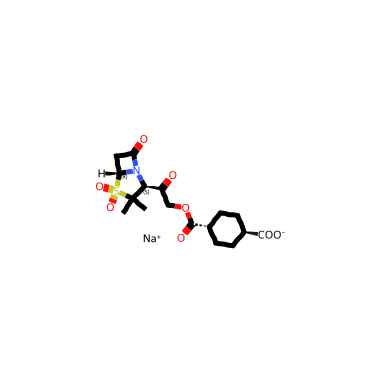 CC1(C)[C@H](C(=O)COC(=O)[C@H]2CC[C@H](C(=O)[O-])CC2)N2C(=O)C[C@H]2S1(=O)=O.[Na+]